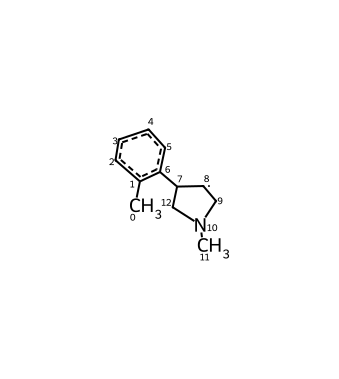 Cc1ccccc1C1[CH]CN(C)C1